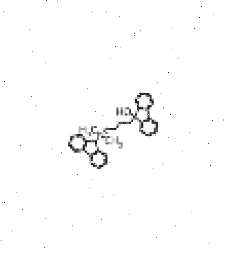 C[N+](C)(CCCCC1(O)c2ccccc2-c2ccccc21)C1c2ccccc2-c2ccccc21